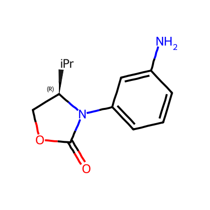 CC(C)[C@@H]1COC(=O)N1c1cccc(N)c1